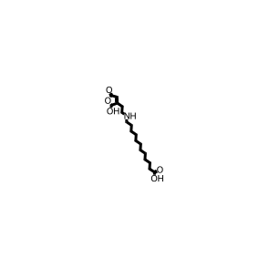 O=C(O)CCCCCCCCCCCNCCC1=CC(=O)OC1O